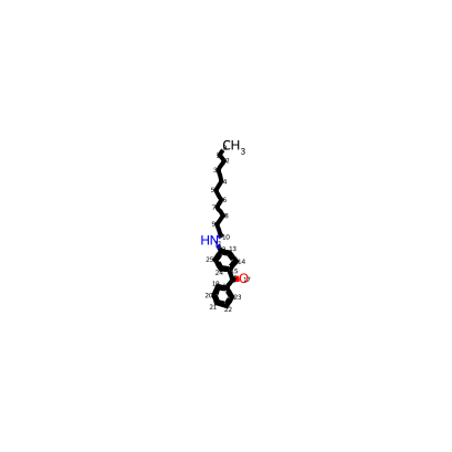 CCCCCCCCCCCNc1ccc(C(=O)c2ccccc2)cc1